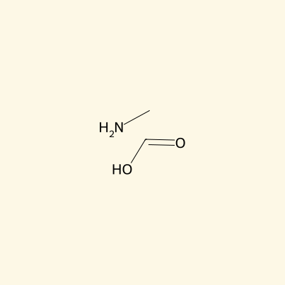 CN.O=CO